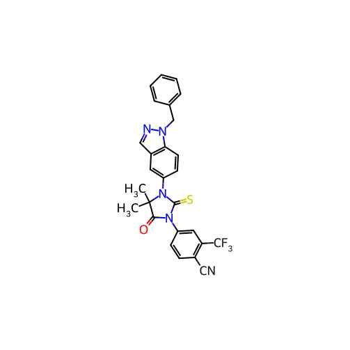 CC1(C)C(=O)N(c2ccc(C#N)c(C(F)(F)F)c2)C(=S)N1c1ccc2c(cnn2Cc2ccccc2)c1